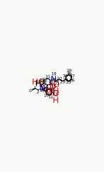 C=CCN1CC(O)[C@]23c4c5ccc(O)c4OC2C(N(C)C(=O)/C=C/c2cccc(C)c2)CC[C@@]3(O)[C@H]1C5